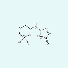 O=C1C=NC(NC2CCCC(F)(F)C2)N1